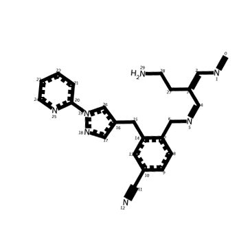 C=N/C=C(\C=N/Cc1ccc(C#N)cc1Cc1cnn(-c2ccccn2)c1)CCN